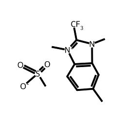 CS(=O)(=O)[O-].Cc1ccc2c(c1)n(C)c(C(F)(F)F)[n+]2C